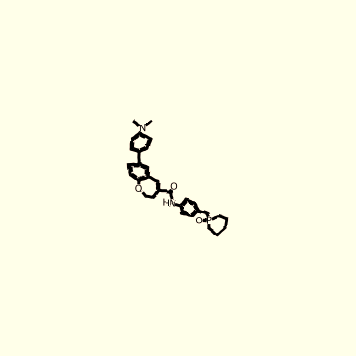 CN(C)c1ccc(-c2ccc3c(c2)C=C(C(=O)Nc2ccc(CP4(=O)CCCCC4)cc2)CCO3)cc1